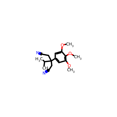 COc1cc(C(CC#N)(CC#N)C(C)C)cc(OC)c1OC